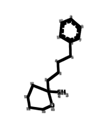 [SiH3]C1(CCCCc2ccccc2)CCCCO1